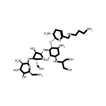 NCCCNCC1=CC[C@@H](N)[C@@H](O[C@H]2[C@H](O[C@@H]3O[C@H](CO)[C@@H](O[C@H]4O[C@@H](CN)[C@@H](O)[C@H](O)[C@H]4N)[C@H]3O)[C@@H](O)[C@H](NC(CO)CO)C[C@@H]2N)O1